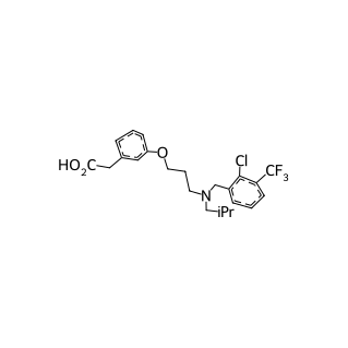 CC(C)CN(CCCOc1cccc(CC(=O)O)c1)Cc1cccc(C(F)(F)F)c1Cl